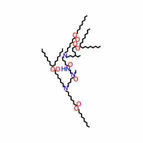 CCCCCCCCCOC(=O)CCCCCCCN(CCCCCCCC(=O)OC(CCCCCCCC)CCCCCCCC)CCCCC(=O)N(CC)CCNC(=O)CCCCN(CCCCCCCC(=O)OCCCCCCCCC)CCCC(CC)CCCC(=O)OC(CCCCCCCC)CCCCCCCC